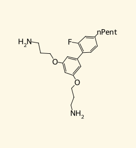 CCCCCc1ccc(-c2cc(OCCCN)cc(OCCCN)c2)c(F)c1